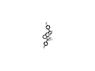 C[C@]12Cn3cnc(-c4ccc(F)cc4)c3C=C1CCC[C@@H]2C(=O)c1ccc(F)cc1